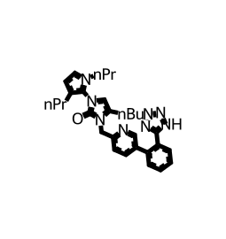 CCCCc1cn(-c2c(CCC)ccn2CCC)c(=O)n1Cc1ccc(-c2ccccc2-c2nnn[nH]2)cn1